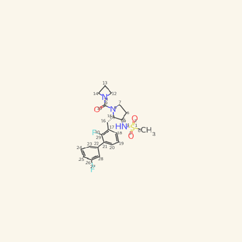 CS(=O)(=O)N[C@H]1CCN(C(=O)N2CCC2)[C@H]1Cc1cccc(-c2cccc(F)c2)c1F